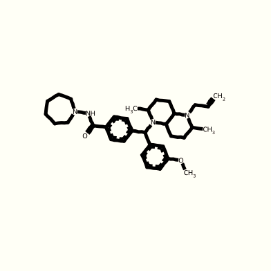 C=CCN1C(C)CCC2C1CCC(C)N2C(c1ccc(C(=O)NN2CCCCCC2)cc1)c1cccc(OC)c1